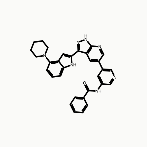 O=C(Nc1cncc(-c2cnc3[nH]nc(-c4cc5c(N6CCCCC6)cccc5[nH]4)c3c2)c1)c1ccccc1